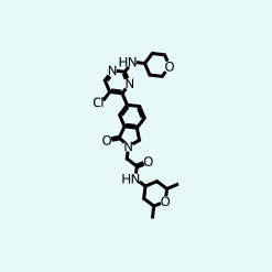 CC1CC(NC(=O)CN2Cc3ccc(-c4nc(NC5CCOCC5)ncc4Cl)cc3C2=O)CC(C)O1